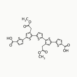 COC(=O)Cc1cc(-c2ccc(C(=O)O)s2)sc1-c1ccc(-c2sc(-c3ccc(C(=O)O)s3)cc2CC(=O)OC)s1